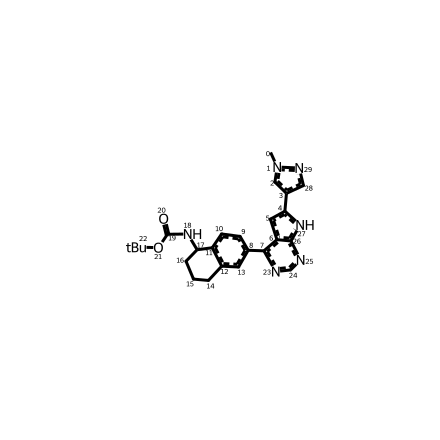 Cn1cc(-c2cc3c(-c4ccc5c(c4)CCCC5NC(=O)OC(C)(C)C)ncnc3[nH]2)cn1